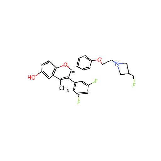 CC1=C(c2cc(F)cc(F)c2)[C@@H](c2ccc(OCCN3CC(CF)C3)cc2)Oc2ccc(O)cc21